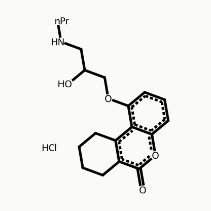 CCCNCC(O)COc1cccc2oc(=O)c3c(c12)CCCC3.Cl